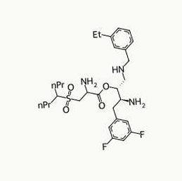 CCCC(CCC)S(=O)(=O)CC(N)C(=O)O[C@H](CNCc1cccc(CC)c1)[C@@H](N)Cc1cc(F)cc(F)c1